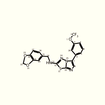 FC(F)(F)Oc1cccc(-c2cnc3sc(NCc4ccc5c(c4)OCO5)nn23)c1